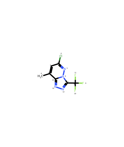 Cc1cc(Cl)nn2c(C(F)(F)F)nnc12